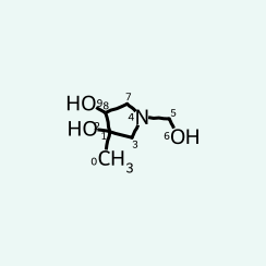 CC1(O)CN(CO)CC1O